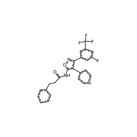 O=C(CCc1ccccc1)Nc1onc(-c2cc(F)cc(C(F)(F)F)c2)c1-c1ccncc1